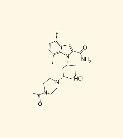 CC(=O)N1CCN([C@H]2CCC[C@@H](n3c(C(N)=O)cc4c(F)ccc(C)c43)C2)CC1.Cl